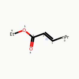 CCC/C=C/C(=O)OCC